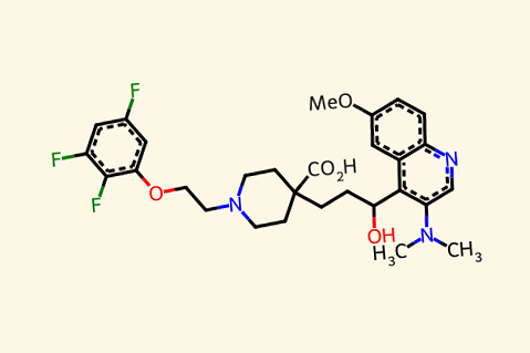 COc1ccc2ncc(N(C)C)c(C(O)CCC3(C(=O)O)CCN(CCOc4cc(F)cc(F)c4F)CC3)c2c1